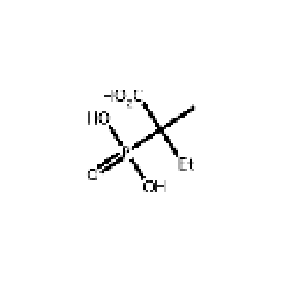 CCC(C)(C(=O)O)P(=O)(O)O